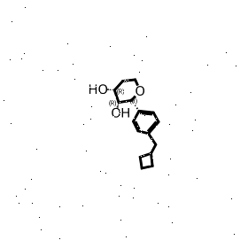 O[C@@H]1[C@H](O)CCO[C@@H]1c1ccc(CC2CCC2)cc1